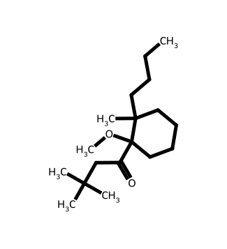 CCCCC1(C)CCCCC1(OC)C(=O)CC(C)(C)C